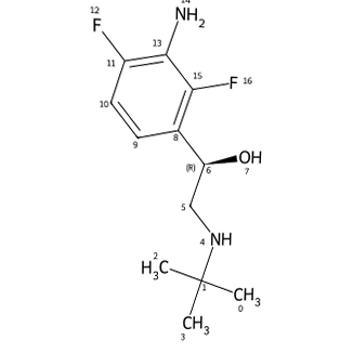 CC(C)(C)NC[C@H](O)c1ccc(F)c(N)c1F